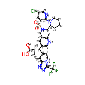 Cc1ncc(C(c2ccn3c(C(F)(F)F)nnc3c2C)C(C)(C)C(=O)O)cc1CN1CC2CCCCN2c2ncc(Cl)cc2S1(=O)=O